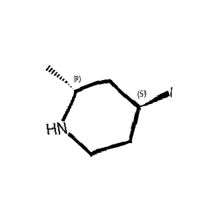 C[C@@H]1C[C@@H](I)CCN1